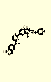 CC12C=CC(c3nccc(Nc4ccc5[nH]ncc5c4)n3)=CC1NC(CNc1ccnnc1)=C2